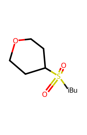 CCC(C)S(=O)(=O)C1CCOCC1